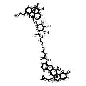 CN1CC[C@]23c4c5ccc(CCO)c4O[C@H]2[C@@H](O[C@@H]2O[C@H](C(=O)NCCSSCCC(=O)Nc4cccc6c4CC4C6=C[C@@]6(O)[C@H]7Cc8ccc(O)c9c8[C@@]6(CCN7CC6CC6)[C@H]4O9)[C@@H](O)[C@H](O)[C@H]2O)C=CC3[C@H]1C5